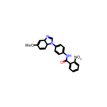 COC1=CC2N=CN(c3ccc(NC(=O)c4ccccc4[N+](=O)[O-])cc3)C2C=C1